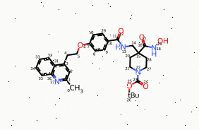 Cc1cc(CCOc2ccc(C(=O)NCC3(C(=O)NO)CCN(C(=O)OC(C)(C)C)CC3)cc2)c2ccccc2n1